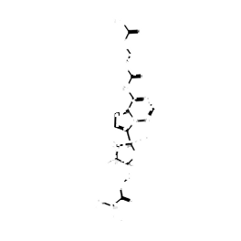 CC(C)C(=O)OCOC(=O)Nc1ncnn2c([C@]3(C#N)O[C@H](COC(=O)[C@@H](N)C(C)(C)C)[C@@H](O)[C@H]3O)ccc12